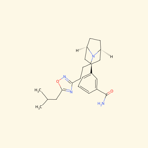 CC(C)Cc1nc(CCCN2[C@@H]3CC[C@H]2C[C@@H](c2cccc(C(N)=O)c2)C3)no1